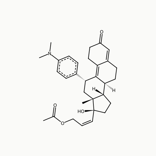 CC(=O)OC/C=C\[C@@]1(O)CC[C@H]2[C@@H]3CCC4=CC(=O)CCC4=C3[C@@H](c3ccc(N(C)C)cc3)C[C@]21C